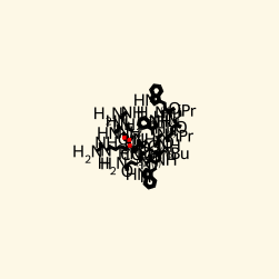 CC[C@H](C)[C@H](NC(=O)[C@H](Cc1c[nH]c2ccccc12)NC(=O)[C@@H](NC(=O)[C@H](CC(C)C)NC(=O)[C@@H](N)Cc1c[nH]c2ccccc12)C(C)C)C(=O)N[C@@H](Cc1c[nH]c2ccccc12)C(=O)N[C@@H](CCC(N)=O)C(=O)N[C@@H](CCCNC(=N)N)C(=O)N[C@@H](CCCNC(=N)N)C(=O)N[C@@H](CCCNC(=N)N)C(=O)O